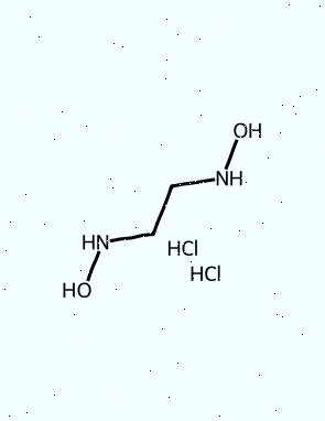 Cl.Cl.ONCCNO